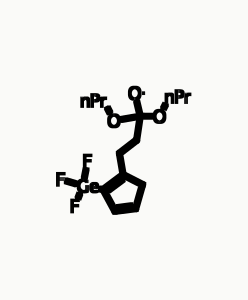 CCCOC([O])(CCC1=[C]([Ge]([F])([F])[F])C=CC1)OCCC